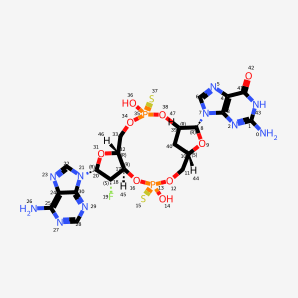 Nc1nc2c(ncn2[C@@H]2O[C@@H]3COP(O)(=S)O[C@H]4[C@H](F)[C@H](n5cnc6c(N)ncnc65)O[C@@H]4COP(O)(=S)O[C@@H]2C3)c(=O)[nH]1